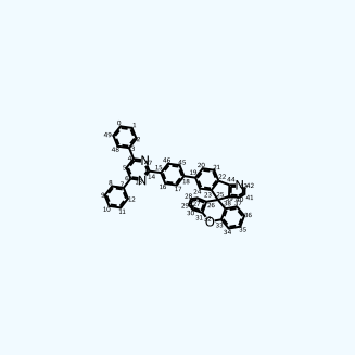 c1ccc(-c2cc(-c3ccccc3)nc(-c3ccc(-c4ccc5c(c4)C4(c6ccccc6Oc6ccccc64)c4cccnc4-5)cc3)n2)cc1